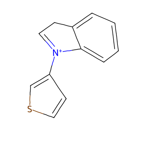 C1=[N+](c2ccsc2)c2ccccc2C1